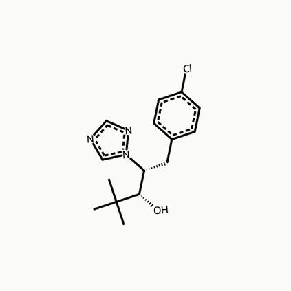 CC(C)(C)[C@@H](O)[C@@H](Cc1ccc(Cl)cc1)n1cncn1